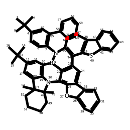 CC(C)(C)c1ccc(N2B3c4cc(C(C)(C)C)cc5c4N(c4c3c(cc3c4oc4ccccc43)-c3c2ccc2c3sc3ccccc32)C2(C)CCCCC52C)c(-c2ccccc2)c1